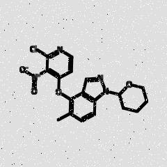 Cc1ccc2c(cnn2C2CCCCO2)c1Oc1ccnc(Cl)c1[N+](=O)[O-]